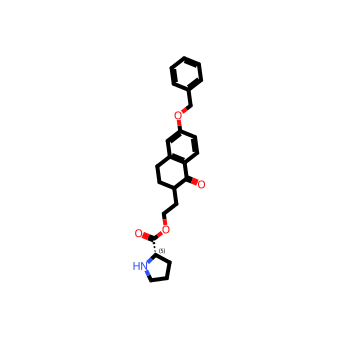 O=C1c2ccc(OCc3ccccc3)cc2CCC1CCOC(=O)[C@@H]1CCCN1